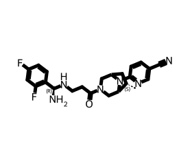 C[C@H]1CC2CN(C(=O)CCN[C@@H](N)c3ccc(F)cc3F)CC1N2c1ccc(C#N)cn1